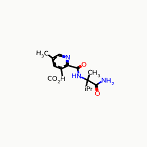 Cc1cnc(C(=O)NC(C)(C(N)=O)C(C)C)c(C(=O)O)c1